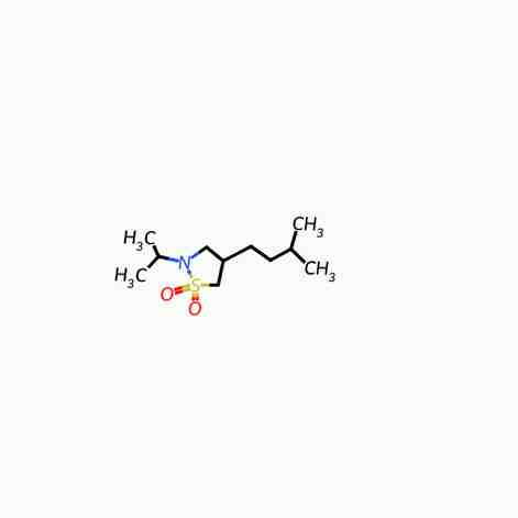 CC(C)CCC1CN(C(C)C)S(=O)(=O)C1